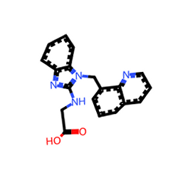 O=C(O)CNc1nc2ccccc2n1Cc1cccc2cccnc12